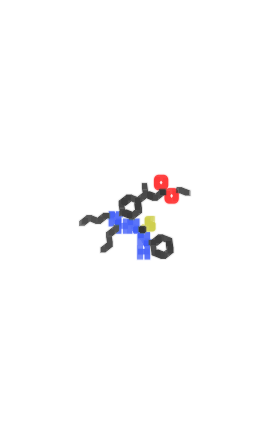 CCCCN(CCCC)c1ccc(/C(C)=C/C(=O)OCC)cc1NC(=S)Nc1ccccc1